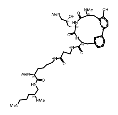 CNCCC[C@@H](CNC(=O)[C@H](CCCCNC(=O)CCNC(=O)[C@@H]1Cc2cccc(c2)-c2ccc(O)c(c2)C[C@H](NC)C(=O)N[C@@H](C[C@@H](O)CNC)C(=O)N1)NC)NC